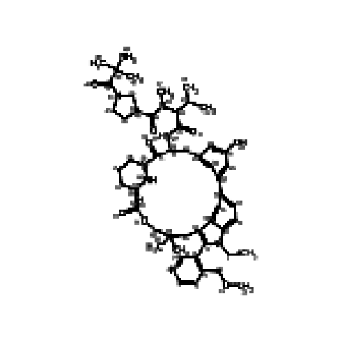 CCn1c(-c2cnccc2COC)c2c3cc(ccc31)-c1cc(O)cc(c1)C[C@H](NC(=O)C(C(C)C)N(C)C(=O)[C@H]1CCN(C(=O)C(C)(C)N)C1)C(=O)N1CCC[C@H](N1)C(=O)OCC(C)(C)C2